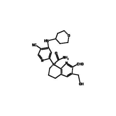 N#Cc1cnc([N+]2(C(N)=O)CCCc3cc(CO)c(C=O)nc32)cc1NC1CCOCC1